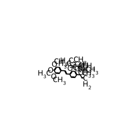 C=CCc1ccc(C=Cc2cc(OC)c(OC)c(OC)c2)c(O[Si](C)(C)C(C)(C)C)c1O[Si](C)(C)C(C)(C)C